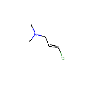 CN(C)CC=CCl